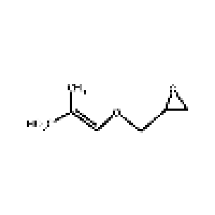 CC(=COCC1CO1)C(=O)O